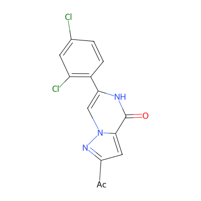 CC(=O)c1cc2c(=O)[nH]c(-c3ccc(Cl)cc3Cl)cn2n1